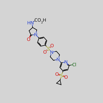 O=C(O)NC1CC(=O)N(c2ccc(S(=O)(=O)N3CCN(c4cc(S(=O)(=O)C5CC5)cc(Cl)n4)CC3)cc2)C1